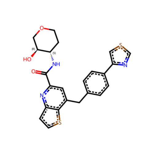 O=C(N[C@H]1CCOC[C@@H]1O)c1cc(Cc2ccc(-c3cscn3)cc2)c2sccc2n1